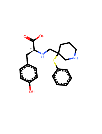 O=C(O)[C@H](Cc1ccc(O)cc1)NCC1(Sc2ccccc2)CCCNC1